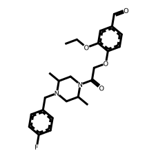 CCOc1cc(C=O)ccc1OCC(=O)N1CC(C)N(Cc2ccc(F)cc2)CC1C